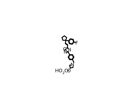 O=C(O)OC1CN(Cc2ccc(-c3noc(/C=C/C4(c5ccc(F)cc5)CCCC4)n3)cc2)C1